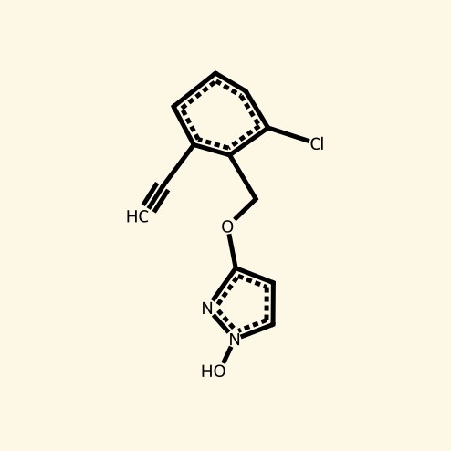 C#Cc1cccc(Cl)c1COc1ccn(O)n1